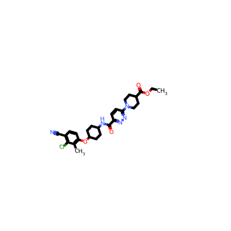 CCOC(=O)C1CCN(c2ccc(C(=O)NC3CCC(Oc4ccc(C#N)c(Cl)c4C)CC3)nn2)CC1